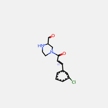 O=CC1CN(C(=O)/C=C/c2cccc(Cl)c2)CCN1